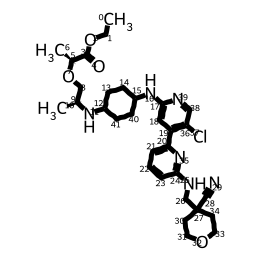 CCOC(=O)[C@H](C)OC[C@H](C)NC1CCC(Nc2cc(-c3cccc(NCC4(C#N)CCOCC4)n3)c(Cl)cn2)CC1